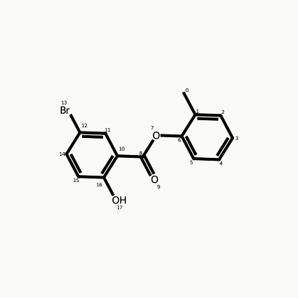 Cc1ccccc1OC(=O)c1cc(Br)ccc1O